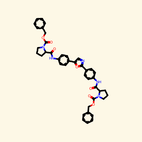 O=C(Nc1ccc(-c2cnc(-c3ccc(NC(=O)C4CCCN4C(=O)OCc4ccccc4)cc3)o2)cc1)C1CCCN1C(=O)OCc1ccccc1